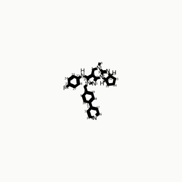 CN1Cc2c(nn(Cc3ccc(-c4ccncc4)cc3)c2Nc2ccc(F)cc2)N2C1=N[C@@H]1CCC[C@@H]12